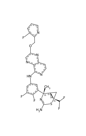 C[C@]1(c2cc(Nc3nccc4nc(OCc5ncccc5F)cnc34)cc(F)c2F)N=C(N)S[C@@]2(C(F)F)C[C@@H]12